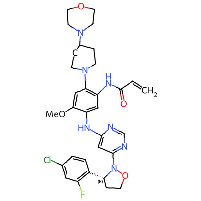 C=CC(=O)Nc1cc(Nc2cc(N3OCC[C@@H]3c3ccc(Cl)cc3F)ncn2)c(OC)cc1N1CCC(N2CCOCC2)CC1